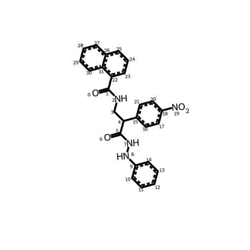 O=C(NCC(C(=O)NNc1ccccc1)c1ccc([N+](=O)[O-])cc1)c1cccc2ccccc12